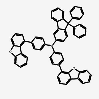 c1ccc(C2(c3ccccc3)c3ccccc3-c3cc(N(c4ccc(-c5cccc6c5oc5ccccc56)cc4)c4ccc(-c5cccc6oc7ccccc7c56)cc4)ccc32)cc1